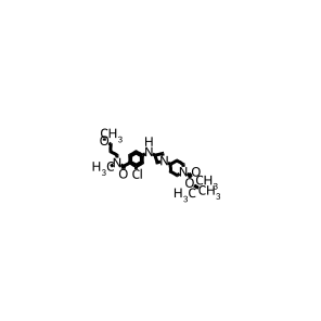 COCCCN(C)C(=O)c1ccc(NC2CN(C3CCN(C(=O)OC(C)(C)C)CC3)C2)cc1Cl